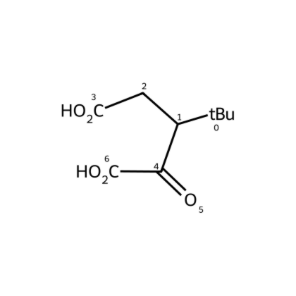 CC(C)(C)C(CC(=O)O)C(=O)C(=O)O